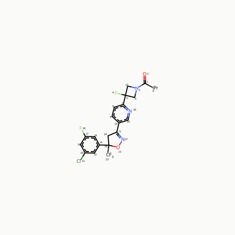 CC(C)C(=O)N1CC(F)(c2ccc(C3=NOC(c4cc(F)cc(Cl)c4)(C(F)(F)F)C3)cn2)C1